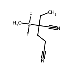 CCC(C#N)(CCC#N)S(C)(F)F